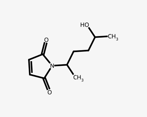 CC(O)CCC(C)N1C(=O)C=CC1=O